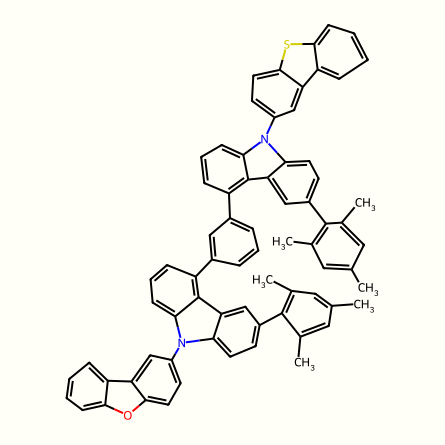 Cc1cc(C)c(-c2ccc3c(c2)c2c(-c4cccc(-c5cccc6c5c5cc(-c7c(C)cc(C)cc7C)ccc5n6-c5ccc6sc7ccccc7c6c5)c4)cccc2n3-c2ccc3oc4ccccc4c3c2)c(C)c1